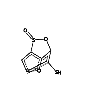 O=S1Oc2c(S)c3cc1c2o3